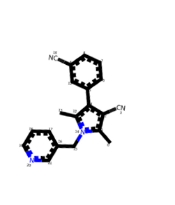 Cc1c(C#N)c(-c2cccc(C#N)c2)c(C)n1Cc1cccnc1